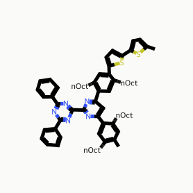 CCCCCCCCc1cc(-c2cc(-c3cc(CCCCCCCC)c(-c4ccc(-c5ccc(C)s5)s4)cc3CCCCCCCC)nc(-c3nc(-c4ccccc4)nc(-c4ccccc4)n3)n2)c(CCCCCCCC)cc1C